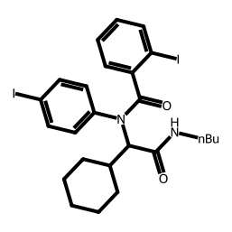 CCCCNC(=O)C(C1CCCCC1)N(C(=O)c1ccccc1I)c1ccc(I)cc1